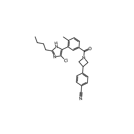 CCCCc1nc(Cl)c(-c2cc(C(=O)N3CC(c4ccc(C#N)cc4)C3)ccc2C)[nH]1